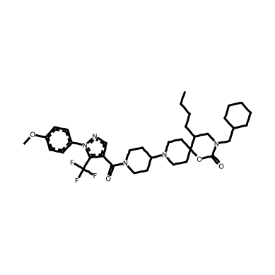 CCCCC1CN(CC2CCCCC2)C(=O)OC12CCN(C1CCN(C(=O)c3cnn(-c4ccc(OC)cc4)c3C(F)(F)F)CC1)CC2